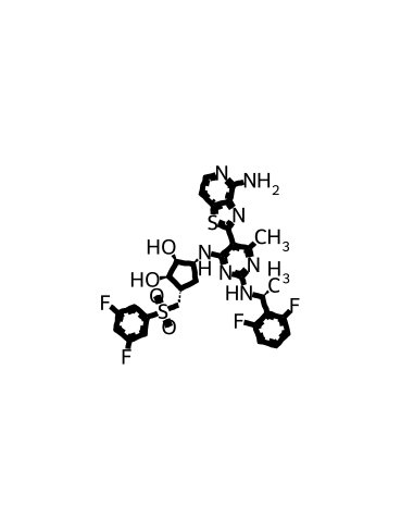 Cc1nc(N[C@H](C)c2c(F)cccc2F)nc(N[C@@H]2C[C@H](CS(=O)(=O)c3cc(F)cc(F)c3)[C@@H](O)[C@H]2O)c1-c1nc2c(N)nccc2s1